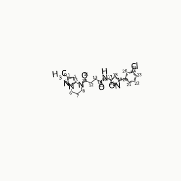 Cc1cc2n(n1)CCCN2C(=O)CCC(=O)Nc1cc(-c2cccc(Cl)c2)no1